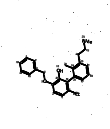 CCc1ccc(OCc2ccccc2)c(O)c1-c1cccc(CCNC)c1C